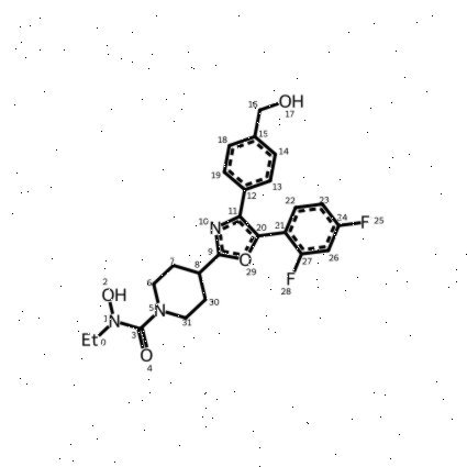 CCN(O)C(=O)N1CCC(c2nc(-c3ccc(CO)cc3)c(-c3ccc(F)cc3F)o2)CC1